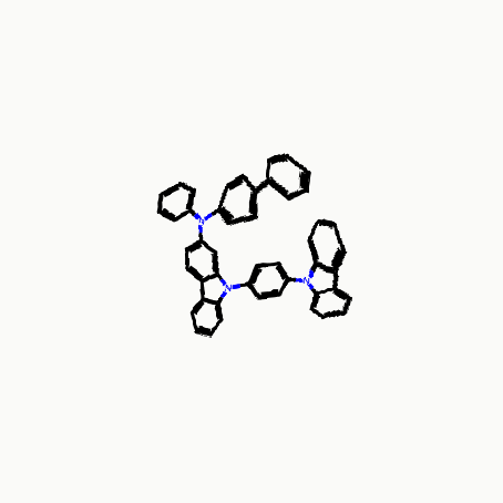 c1ccc(-c2ccc(N(c3ccccc3)c3ccc4c5ccccc5n(-c5ccc(-n6c7ccccc7c7ccccc76)cc5)c4c3)cc2)cc1